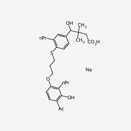 CCCc1cc(C(O)C(C)(C)CC(=O)O)ccc1SCCCOc1ccc(C(C)=O)c(O)c1CCC.[Na]